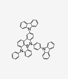 c1ccc(N2c3ccccc3B3c4c(cccc42)-c2cc(-n4c5ccccc5c5ccccc54)ccc2N3c2ccc(-n3c4ccccc4c4ccccc43)cc2)cc1